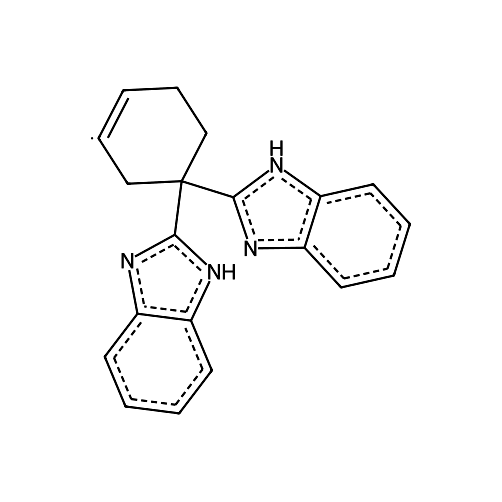 [C]1=CCCC(c2nc3ccccc3[nH]2)(c2nc3ccccc3[nH]2)C1